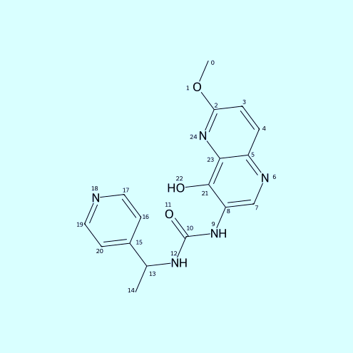 COc1ccc2ncc(NC(=O)NC(C)c3ccncc3)c(O)c2n1